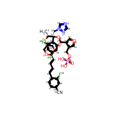 C[C@@H](S[C@H]1CO[C@H](/C=C/C=C/c2ccc(C#N)cc2F)OC1)[C@@](Cn1cncn1)(OC(=O)c1cocc1COP(=O)(O)O)c1ccc(F)cc1F